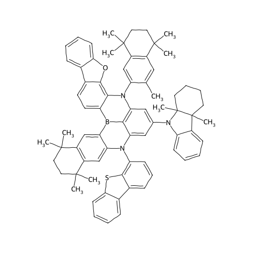 Cc1cc2c(cc1N1c3cc(N4c5ccccc5C5(C)CCCCC45C)cc4c3B(c3cc5c(cc3N4c3cccc4c3sc3ccccc34)C(C)(C)CCC5(C)C)c3ccc4c(oc5ccccc54)c31)C(C)(C)CCC2(C)C